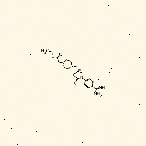 CCOC(=O)CN1CCN(C[C@@H]2CN(c3ccc(C(=N)N)cc3)C(=O)O2)CC1